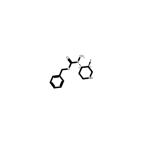 CN(C(=O)OCc1ccccc1)[C@H]1CCNC[C@@H]1F